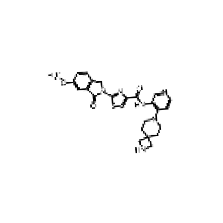 COc1ccc2c(c1)C(=O)N(c1nc(C(=O)Nc3cnccc3N3CCC4(CC3)CNC4)cs1)C2